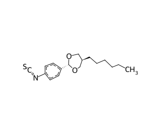 CCCCCC[C@H]1CO[C@H](c2ccc(N=C=S)cc2)OC1